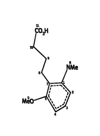 CNc1cccc(OC)c1CCCC(=O)O